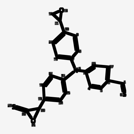 S=Cc1ccc(N(c2ccc(C3CO3)cc2)c2ccc(C3OC3=S)cc2)cc1